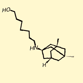 C[C@]12C[C@@H]3C[C@](C)(C1)C[C@](NCCCCCCCO)(C3)C2